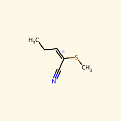 CC/C=C(\C#N)SC